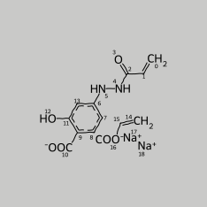 C=CC(=O)NNc1ccc(C(=O)[O-])c(O)c1.C=CC(=O)[O-].[Na+].[Na+]